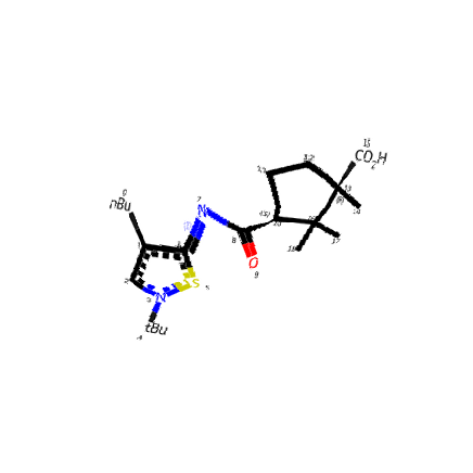 CCCCc1cn(C(C)(C)C)s/c1=N\C(=O)[C@H]1CC[C@@](C)(C(=O)O)C1(C)C